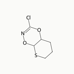 ClC1=NOC2SCCCC2O1